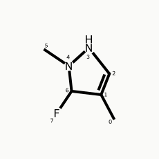 CC1=CNN(C)C1F